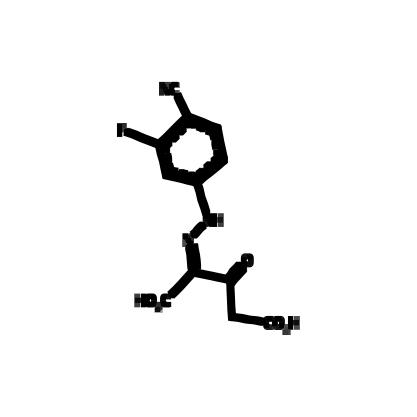 N#Cc1ccc(NN=C(C(=O)O)C(=O)CC(=O)O)cc1F